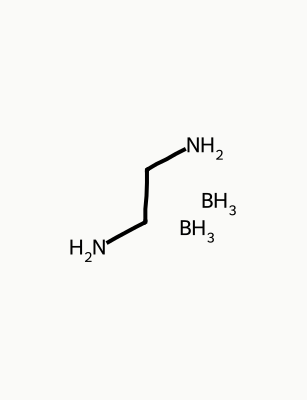 B.B.NCCN